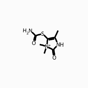 CC1=C(SC(N)=O)[N+](C)(C)C(=O)N1